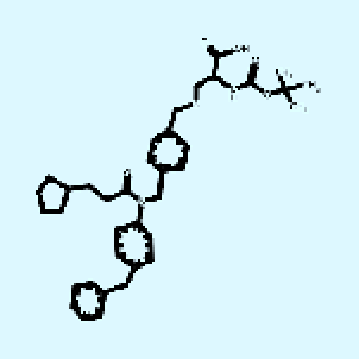 CC(C)(C)OC(=O)NC(CSCc1ccc(CN(C(=O)CCC2CCCC2)c2ccc(Cc3ccccc3)cc2)cc1)C(=O)O